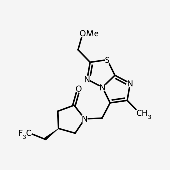 COCc1nn2c(CN3C[C@@H](CC(F)(F)F)CC3=O)c(C)nc2s1